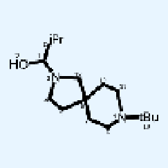 CC(C)C(O)N1CCC2(CCN(C(C)(C)C)CC2)C1